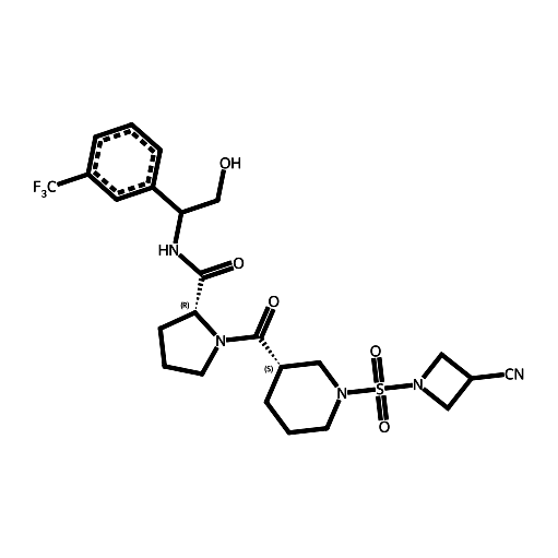 N#CC1CN(S(=O)(=O)N2CCC[C@H](C(=O)N3CCC[C@@H]3C(=O)NC(CO)c3cccc(C(F)(F)F)c3)C2)C1